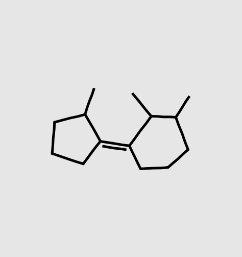 CC1CCCC1=C1CCCC(C)C1C